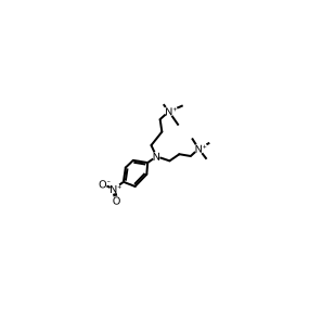 C[N+](C)(C)CCCN(CCC[N+](C)(C)C)c1ccc([N+](=O)[O-])cc1